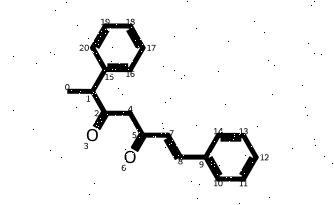 CC(C(=O)CC(=O)C=Cc1ccccc1)c1ccccc1